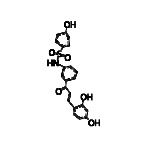 O=C(C=Cc1ccc(O)cc1O)c1cccc(NS(=O)(=O)c2ccc(O)cc2)c1